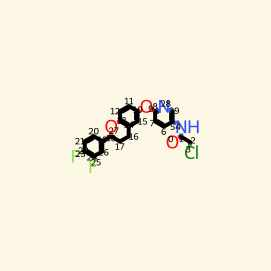 O=C(CCl)Nc1ccc(Oc2ccc3c(c2)CCC(c2ccc(F)c(F)c2)O3)nc1